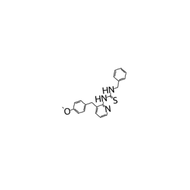 COc1ccc(Cc2cccnc2NC(=S)NCc2ccccc2)cc1